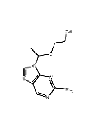 CC(OCCO)n1cnc2cnc(N)nc21